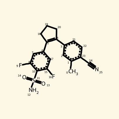 Cc1cc(C2=C(c3cc(F)c(S(N)(=O)=O)c(F)c3)CCC2)ccc1C#N